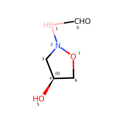 O=CBN1C[C@H](O)CO1